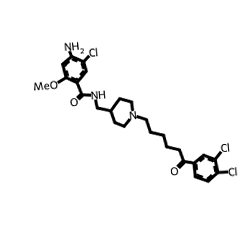 COc1cc(N)c(Cl)cc1C(=O)NCC1CCN(CCCCCC(=O)c2ccc(Cl)c(Cl)c2)CC1